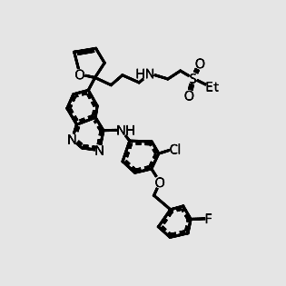 CCS(=O)(=O)CCNCCCC1(c2ccc3ncnc(Nc4ccc(OCc5cccc(F)c5)c(Cl)c4)c3c2)CC=CO1